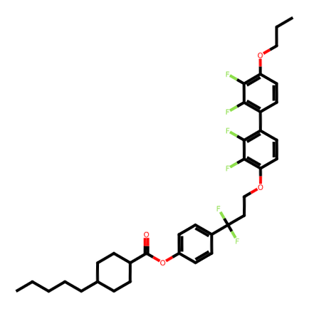 CCCCCC1CCC(C(=O)Oc2ccc(C(F)(F)CCOc3ccc(-c4ccc(OCCC)c(F)c4F)c(F)c3F)cc2)CC1